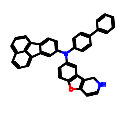 C1=Cc2oc3ccc(N(c4ccc(-c5ccccc5)cc4)c4ccc5c(c4)-c4cccc6cccc-5c46)cc3c2CN1